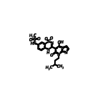 CC(C)CCn1c(=O)c(C2=NS(=O)(=O)c3cc(NS(C)(=O)=O)ccc3N2)c(O)n2ccnc12